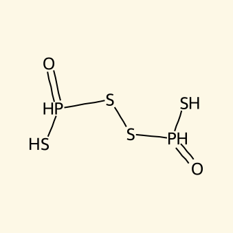 O=[PH](S)SS[PH](=O)S